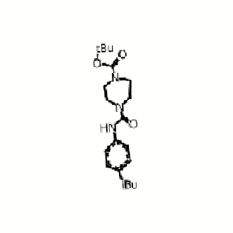 CCC(C)c1ccc(NC(=O)N2CCN(C(=O)OC(C)(C)C)CC2)cc1